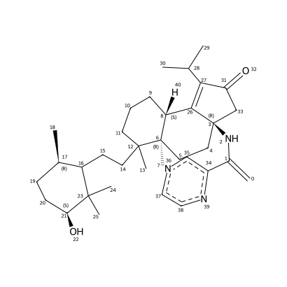 C=C(N[C@@]12CC[C@]3(C)[C@H](CCCC3(C)CCC3[C@H](C)CC[C@H](O)C3(C)C)C1=C(C(C)C)C(=O)C2)c1cnccn1